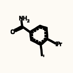 [CH]c1cc(C(N)=O)ccc1C(C)C